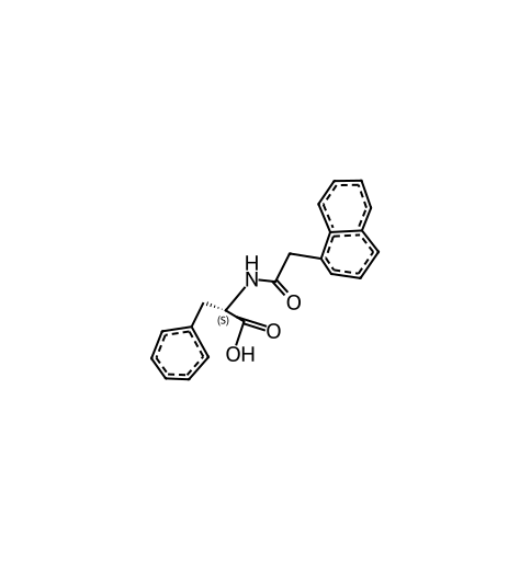 O=C(Cc1cccc2ccccc12)N[C@@H](Cc1ccccc1)C(=O)O